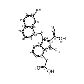 O=C(O)Cc1cccc2c1c(F)c(C(=O)O)n2Cc1cccc2ccc(F)cc12